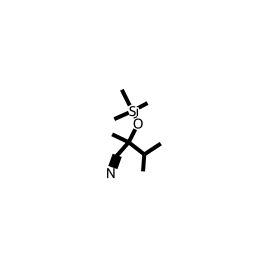 CC(C)C(C)(C#N)O[Si](C)(C)C